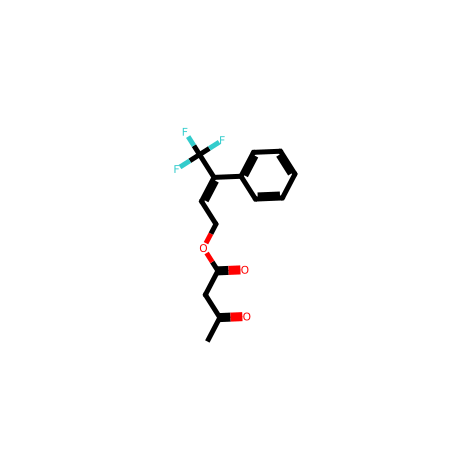 CC(=O)CC(=O)OC/C=C(\c1ccccc1)C(F)(F)F